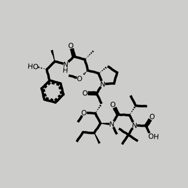 CC[C@H](C)[C@@H]([C@@H](CC(=O)N1CCC[C@H]1[C@H](OC)[C@@H](C)C(=O)N[C@H](C)[C@@H](O)c1ccccc1)OC)N(C)C(=O)[C@H](C(C)C)N(C(=O)O)C(C)(C)C